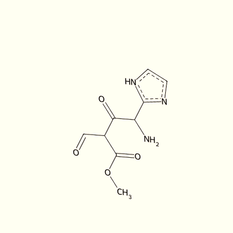 COC(=O)C(C=O)C(=O)C(N)c1ncc[nH]1